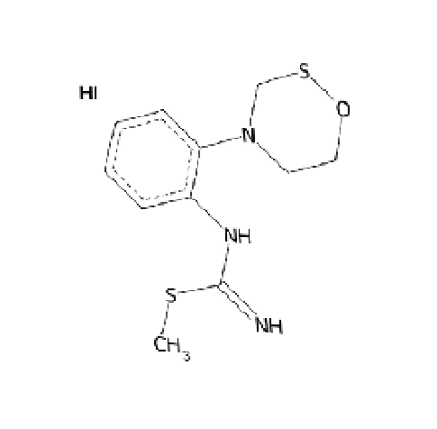 CSC(=N)Nc1ccccc1N1CCOSC1.I